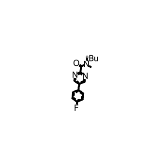 CN(C(=O)c1ncc(-c2ccc(F)cc2)cn1)C(C)(C)C